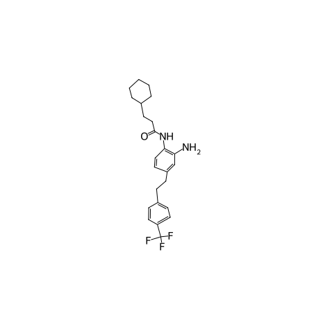 Nc1cc(CCc2ccc(C(F)(F)F)cc2)ccc1NC(=O)CCC1CCCCC1